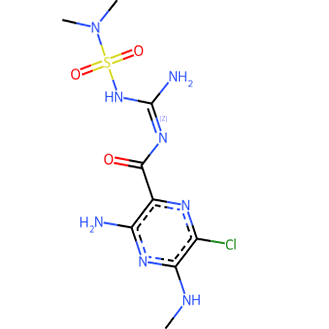 CNc1nc(N)c(C(=O)/N=C(/N)NS(=O)(=O)N(C)C)nc1Cl